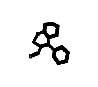 O=CC1=C(c2ccccc2)c2ccccc2OC1